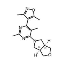 Cc1nc(-c2c(C)noc2C)c(C)c(N2C[C@H]3COC[C@H]3C2)n1